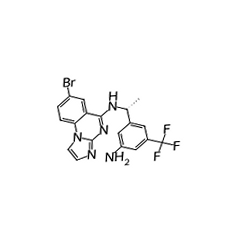 C[C@@H](Nc1nc2nccn2c2ccc(Br)cc12)c1cc(N)cc(C(F)(F)F)c1